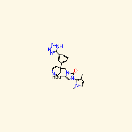 CCCCc1cn(-c2c(C)ccn2C)c(=O)n1CC1(c2cccc(-c3nnn[nH]3)c2)C=CN=CC1